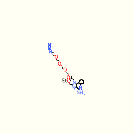 CCOCc1nc2c(N)nc3ccccc3c2n1CC(C)(C)OCCOCCOCCOCCN=[N+]=[N-]